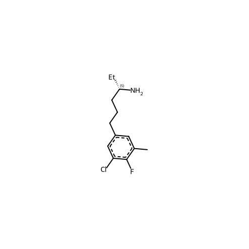 CC[C@H](N)CCCc1cc(C)c(F)c(Cl)c1